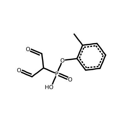 Cc1ccccc1OP(=O)(O)C(C=O)C=O